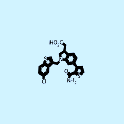 NC(=O)c1sccc1-c1ccc2c(c1)N(Cc1csc3ccc(Cl)cc13)CC2CC(=O)O